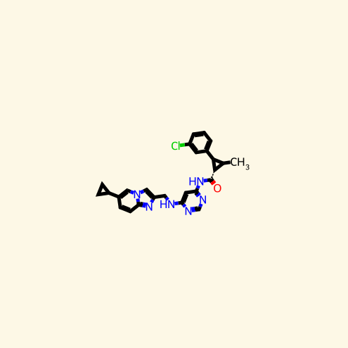 CC1C(c2cccc(Cl)c2)[C@H]1C(=O)Nc1cc(NCc2cn3cc(C4CC4)ccc3n2)ncn1